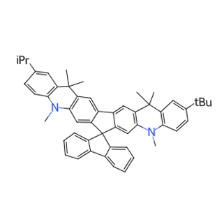 CC(C)c1ccc2c(c1)C(C)(C)c1cc3c(cc1N2C)C1(c2ccccc2-c2ccccc21)c1cc2c(cc1-3)C(C)(C)c1cc(C(C)(C)C)ccc1N2C